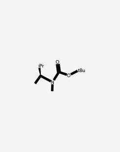 CC(C)[C@H](C)N(C)C(=O)OC(C)(C)C